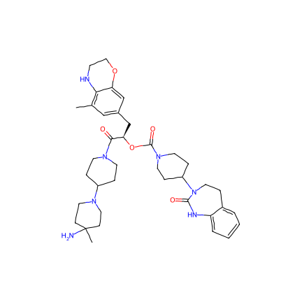 Cc1cc(C[C@@H](OC(=O)N2CCC(N3CCc4ccccc4NC3=O)CC2)C(=O)N2CCC(N3CCC(C)(N)CC3)CC2)cc2c1NCCO2